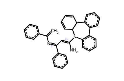 C=C(/N=C(\C=C(/N)N1c2ccccc2-c2ccccc2C2C=CC=CC21)c1ccccc1)c1ccccc1